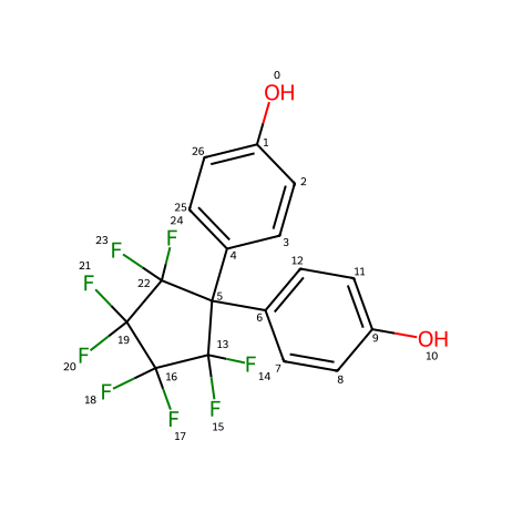 Oc1ccc(C2(c3ccc(O)cc3)C(F)(F)C(F)(F)C(F)(F)C2(F)F)cc1